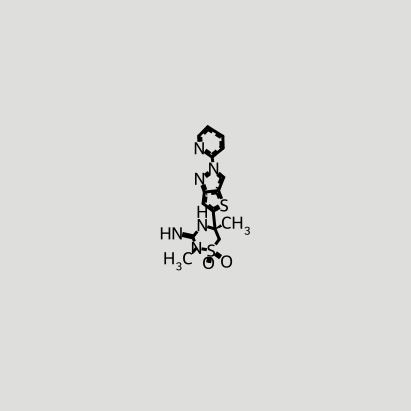 CN1C(=N)N[C@](C)(c2cc3nn(-c4ccccn4)cc3s2)CS1(=O)=O